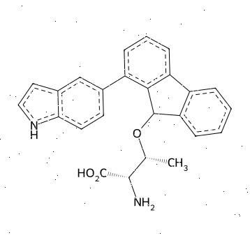 C[C@@H](OC1c2ccccc2-c2cccc(-c3ccc4[nH]ccc4c3)c21)[C@H](N)C(=O)O